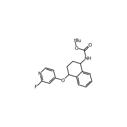 CC(C)(C)OC(=O)NC1CCC(Oc2ccnc(F)c2)c2ccccc21